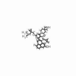 C#Cc1c(F)ccc2cc(O)cc(C3=C(F)c4nc(OCC5(CN(C)C)CC5)nc(N5CCC6(CC5)CNC6)c4[S+]([O-])N3C3CC3(F)F)c12